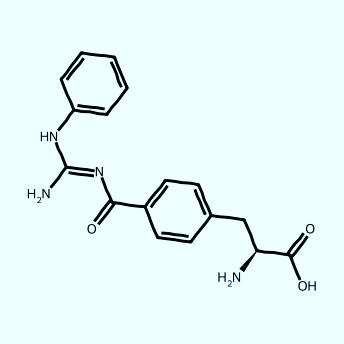 N/C(=N\C(=O)c1ccc(C[C@H](N)C(=O)O)cc1)Nc1ccccc1